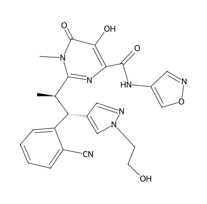 C[C@@H](c1nc(C(=O)Nc2cnoc2)c(O)c(=O)n1C)[C@H](c1cnn(CCO)c1)c1ccccc1C#N